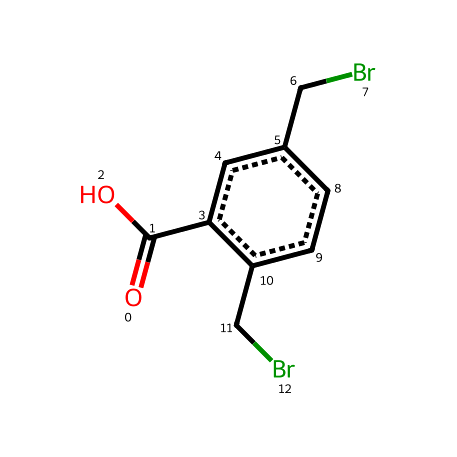 O=C(O)c1cc(CBr)ccc1CBr